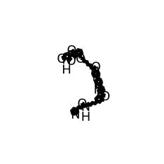 O=C(/C=C/c1cccnc1)NCCCCC1CCN(C(=O)c2ccc(N3CCC(N4CCN(C(=O)CCCCCCOc5cccc6c5CN(C5CCC(=O)NC5=O)C6=O)CC4)CC3)nc2)CC1